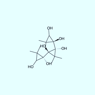 CC1(C)[C@](O)([C@@]2(O)C(O)C2(C)C)[C@@]1(O)[C@@]1(O)C(O)C1(C)C